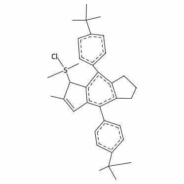 CC1=Cc2c(-c3ccc(C(C)(C)C)cc3)c3c(c(-c4ccc(C(C)(C)C)cc4)c2C1S(C)(C)Cl)CCC3